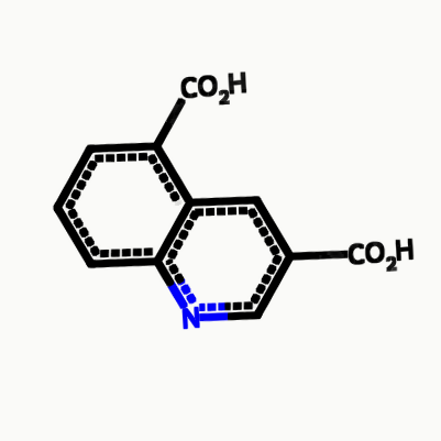 O=C(O)c1cnc2cccc(C(=O)O)c2c1